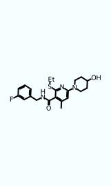 CCSc1nc(N2CCC(O)CC2)cc(C)c1C(=O)NCc1cccc(F)c1